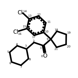 O=C(CC1CCCCC1)C1(c2ccc(Cl)c(Cl)c2)CCCC1